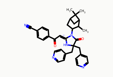 CC1C(N2C(=O)C(Cc3ccncc3)(Cc3ccncc3)N/C2=C\C(=O)c2ccc(C#N)cc2)CC2CC1C2(C)C